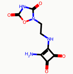 Nc1c(NCCn2oc(=O)[nH]c2=O)c(=O)c1=O